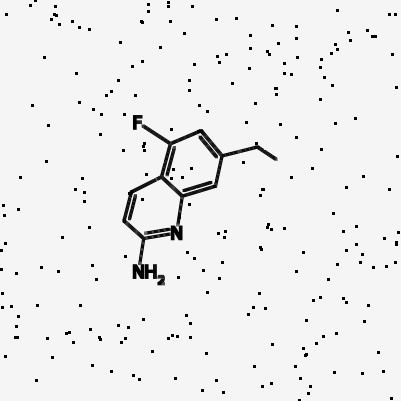 CCc1cc(F)c2ccc(N)nc2c1